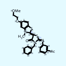 COCCOc1ccc2c(c1)N(C)/C(=C1/S/C(=N/c3cccc(C(C)=O)c3)N(Cc3ccccc3)C1=O)S2